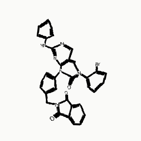 O=C1c2ccccc2C(=O)N1Cc1cccc(N2C(=O)N(c3ccccc3Br)Cc3cnc(Nc4ccccc4)nc32)c1